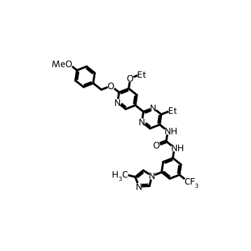 CCOc1cc(-c2ncc(NC(=O)Nc3cc(-n4cnc(C)c4)cc(C(F)(F)F)c3)c(CC)n2)cnc1OCc1ccc(OC)cc1